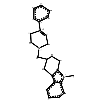 Cn1c2c(c3ccccc31)CC(CN1CC=C(c3ccccc3)CC1)CC2